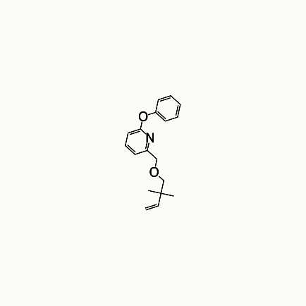 C=CC(C)(C)COCc1cccc(Oc2ccccc2)n1